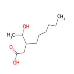 CCCCCCC(CC(=O)O)C(C)O